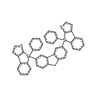 c1ccc([Si]2(c3ccc4c(c3)-c3cc([Si]5(c6ccccc6)c6ccccc6-c6ccsc65)ccc3C4)c3ccccc3-c3ccsc32)cc1